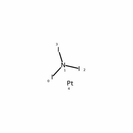 IN(I)I.[Pt]